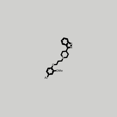 COc1cc(C(C)=O)ccc1OCCCN1CCC(c2nsc3ccccc23)CC1